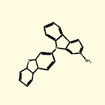 Bc1ccc2c3ccccc3n(C3=CC4OC5C=CC=CC5C4C=C3)c2c1